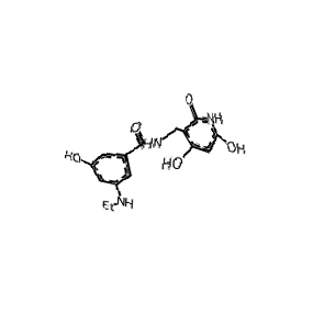 CCNc1cc(O)cc(C(=O)NCc2c(O)cc(O)[nH]c2=O)c1